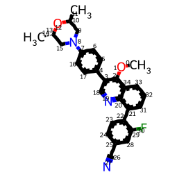 COc1c(-c2ccc(N3CC(C)O[C@@H](C)C3)cc2)cnc2c(-c3ccc(C#N)cc3F)cccc12